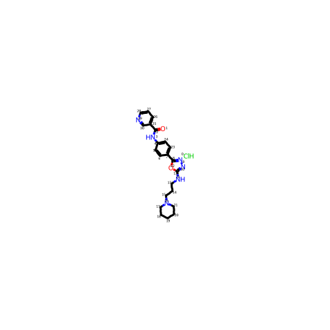 Cl.O=C(Nc1ccc(-c2nnc(NCCCN3CCCCC3)o2)cc1)c1cccnc1